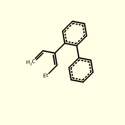 C=CC(=CCC)c1ccccc1-c1ccccc1